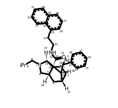 CC(=O)N1C[C@@H]2C[C@H]3CN(CC(C)C)[C@@H]([C@@H]2Cc2ccccc2)[C@]31C(=O)NCCc1cccc2ccccc12